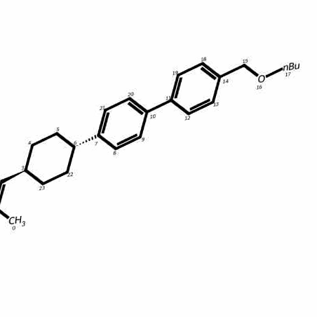 C/C=C\[C@H]1CC[C@H](c2ccc(-c3ccc(COCCCC)cc3)cc2)CC1